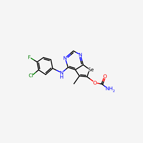 Cc1c(OC(N)=O)[se]c2ncnc(Nc3ccc(F)c(Cl)c3)c12